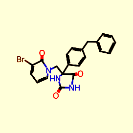 O=C1NC(=O)C(Cn2cccc(Br)c2=O)(c2ccc(Cc3ccccc3)cc2)N1